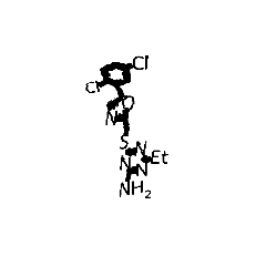 CCc1nc(N)nc(SCc2ncc(-c3cc(Cl)ccc3Cl)o2)n1